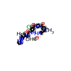 Cn1c(-c2cn(-c3ncccn3)nc2C(F)(F)F)cnc1C(=O)Nc1ccc(C(=O)N2CCN(C(=O)C3CC[N+](C)(CC4CNC4)CC3)CC2)c(Cl)c1.O=C[O-]